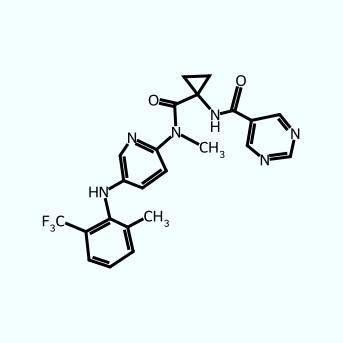 Cc1cccc(C(F)(F)F)c1Nc1ccc(N(C)C(=O)C2(NC(=O)c3cncnc3)CC2)nc1